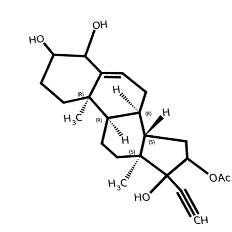 C#CC1(O)C(OC(C)=O)C[C@H]2[C@@H]3CC=C4C(O)C(O)CC[C@]4(C)[C@@H]3CC[C@@]21C